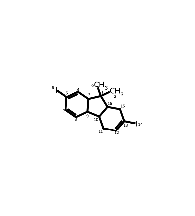 CC1(C)C2C=C(I)C=CC2C2CC=C(I)CC21